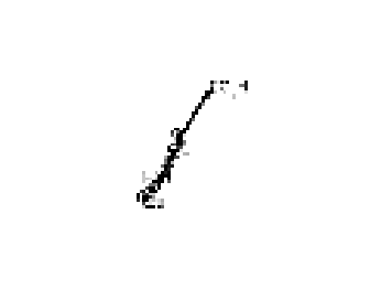 CC(C)(C)C(=O)COCCOCCNC(=O)COCCOCCNC(=O)CN1CCN(C(=O)CCCCCCCCCCCCCCCCCCC(=O)O)CC1